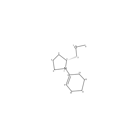 COC[C@H]1CCCN1C1=CCCCC1